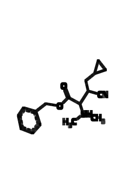 C[SiH](C)C(C(=O)OCc1ccccc1)C(C#N)CC1CC1